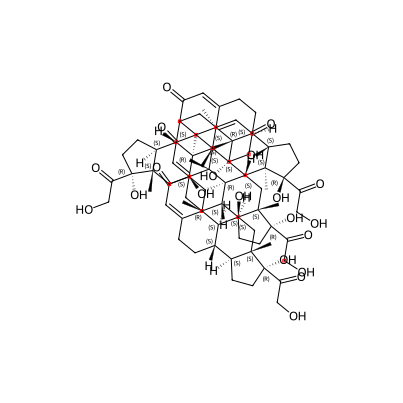 C[C@]12CCC(=O)C=C1CC[C@H]1[C@@H]3CC[C@](O)(C(=O)CO)[C@@]3(C)C[C@H](O)[C@@]12C1CC(=O)C=C2CC[C@H]3[C@@H]4CC[C@](O)(C(=O)CO)[C@@]4(C)C[C@H](O)[C@]3(C3CC(=O)C=C4CC[C@H]5[C@@H]6CC[C@](O)(C(=O)CO)[C@@]6(C)C[C@H](O)[C@]5(C5CC(=O)C=C6CC[C@@H]7[C@H]([C@@H](O)C[C@@]8(C)[C@H]7CC[C@]8(O)C(=O)CO)[C@]65C)[C@]43C)[C@]21C